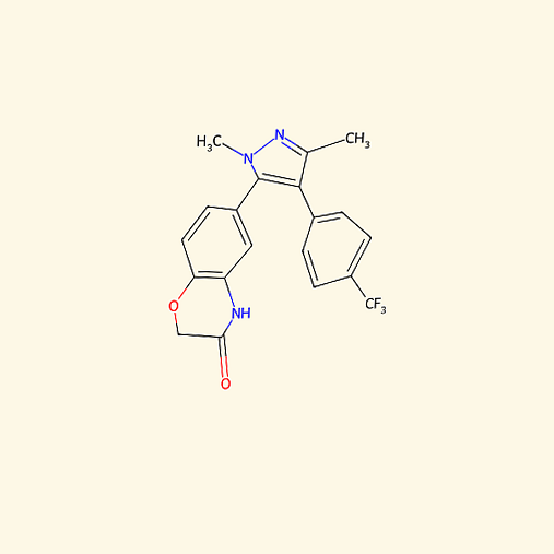 Cc1nn(C)c(-c2ccc3c(c2)NC(=O)CO3)c1-c1ccc(C(F)(F)F)cc1